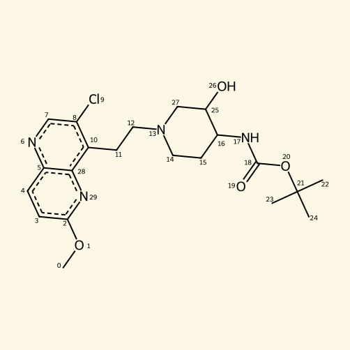 COc1ccc2ncc(Cl)c(CCN3CCC(NC(=O)OC(C)(C)C)C(O)C3)c2n1